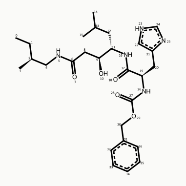 CC[C@H](C)CNC(=O)C[C@H](O)[C@H](CC(C)C)NC(=O)[C@@H](Cc1c[nH]cn1)NC(=O)OCc1ccccc1